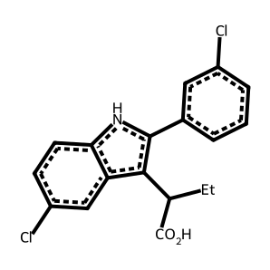 CCC(C(=O)O)c1c(-c2cccc(Cl)c2)[nH]c2ccc(Cl)cc12